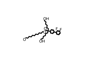 O=CCCCCCCCCCCOC(=O)C(CCCCCCO)(CCCCCCO)c1ccc(-c2cccc(F)c2F)cc1